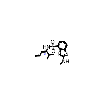 C=C/C=C(/NS(=O)(=O)c1cccc2sc(NC)nc12)C(C)C